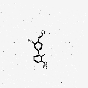 CCC=Cc1ccc(C2=CC=CC(OCC)C2C)cc1CC